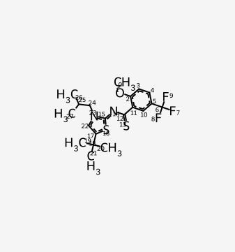 COc1ccc(C(F)(F)F)cc1C(=S)/N=c1\sc(C(C)(C)C)cn1CC(C)C